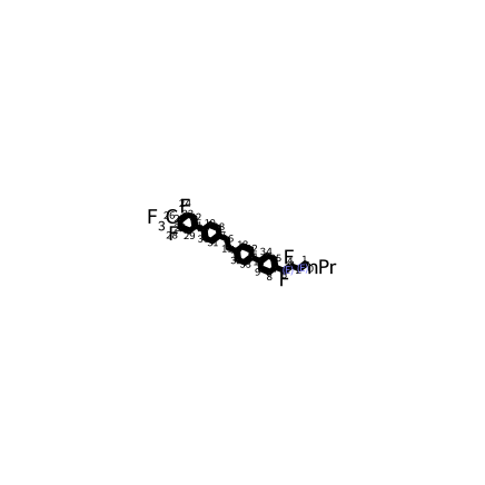 CCC/C=C/C(F)=C(\F)c1ccc(-c2ccc(CCc3ccc(-c4cc(F)c(C(F)(F)F)c(F)c4)cc3)cc2)cc1